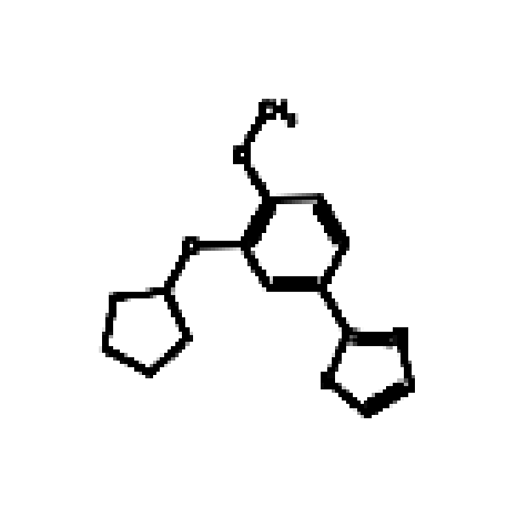 COc1ccc(-c2nccs2)cc1OC1CCCC1